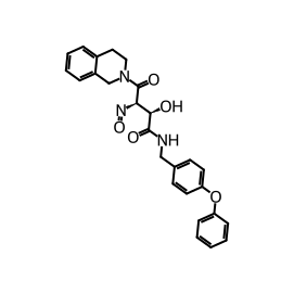 O=N[C@@H](C(=O)N1CCc2ccccc2C1)[C@@H](O)C(=O)NCc1ccc(Oc2ccccc2)cc1